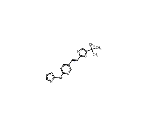 CC(C)(C)c1cnc(/C=C/c2cnc(Nc3nccs3)nc2)o1